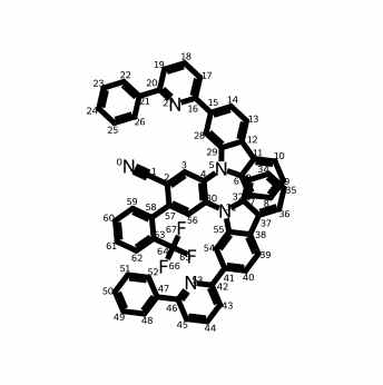 N#Cc1cc(-n2c3ccccc3c3ccc(-c4cccc(-c5ccccc5)n4)cc32)c(-n2c3ccccc3c3ccc(-c4cccc(-c5ccccc5)n4)cc32)cc1-c1ccccc1C(F)(F)F